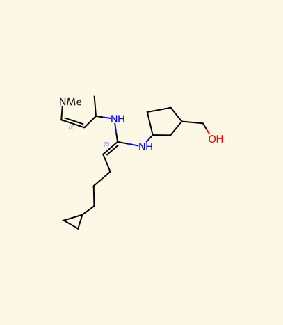 CN/C=C\C(C)N/C(=C/CCCC1CC1)NC1CCC(CO)C1